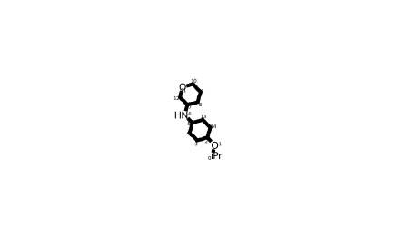 CC(C)OC1CCC(NC2CCCOC2)CC1